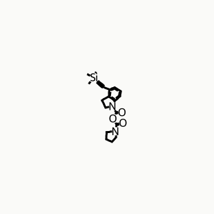 C[Si](C)(C)C#Cc1cccc2c1CCN2C(=O)OC(=O)N1CCCC1